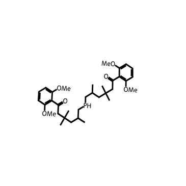 COc1cccc(OC)c1C(=O)CC(C)(C)CC(C)CPCC(C)CC(C)(C)CC(=O)c1c(OC)cccc1OC